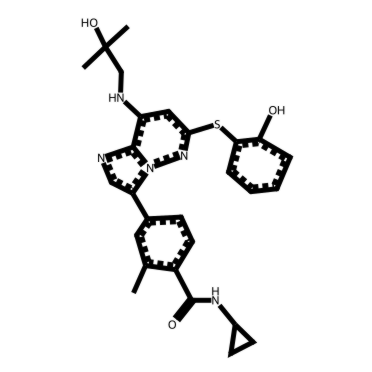 Cc1cc(-c2cnc3c(NCC(C)(C)O)cc(Sc4ccccc4O)nn23)ccc1C(=O)NC1CC1